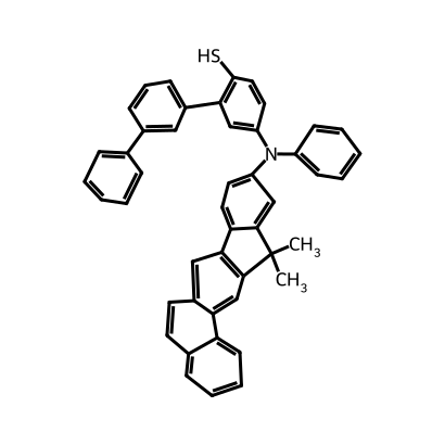 CC1(C)c2cc(N(c3ccccc3)c3ccc(S)c(-c4cccc(-c5ccccc5)c4)c3)ccc2-c2cc3ccc4ccccc4c3cc21